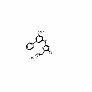 CSc1cc(Sc2cc(Cl)c(CNC(=O)O)s2)cc(-c2ccccc2)c1